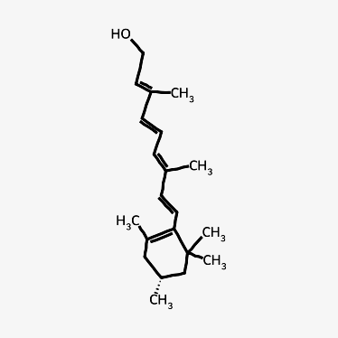 CC1=C(/C=C/C(C)=C/C=C/C(C)=C/CO)C(C)(C)C[C@H](C)C1